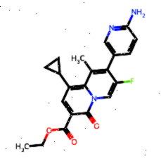 CCOC(=O)c1cc(C2CC2)c2c(C)c(-c3ccc(N)nc3)c(F)cn2c1=O